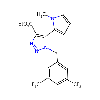 CCOC(=O)c1nnn(Cc2cc(C(F)(F)F)cc(C(F)(F)F)c2)c1-c1cccn1C